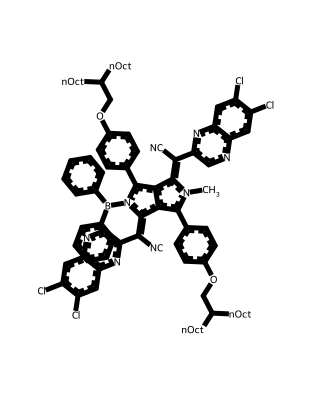 [C-]#[N+]/C(c1cnc2cc(Cl)c(Cl)cc2n1)=c1\c2c(-c3ccc(OCC(CCCCCCCC)CCCCCCCC)cc3)n(C)/c(=C(/C#N)c3cnc4cc(Cl)c(Cl)cc4n3)c2c(-c2ccc(OCC(CCCCCCCC)CCCCCCCC)cc2)n1B(c1ccccc1)c1ccccc1